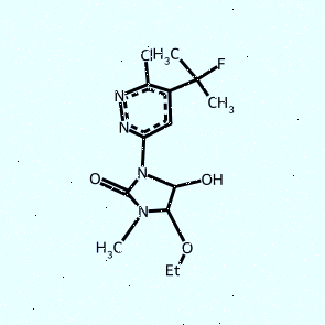 CCOC1C(O)N(c2cc(C(C)(C)F)c(Cl)nn2)C(=O)N1C